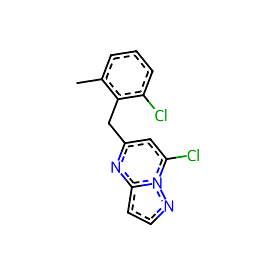 Cc1cccc(Cl)c1Cc1cc(Cl)n2nccc2n1